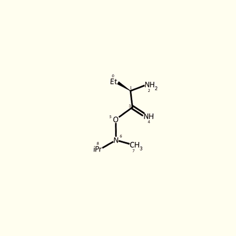 CC[C@@H](N)C(=N)ON(C)C(C)C